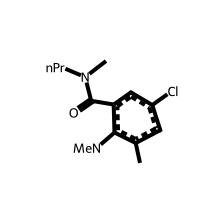 CCCN(C)C(=O)c1cc(Cl)cc(C)c1NC